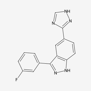 Fc1cccc(-c2n[nH]c3ccc(-c4nc[nH]n4)cc23)c1